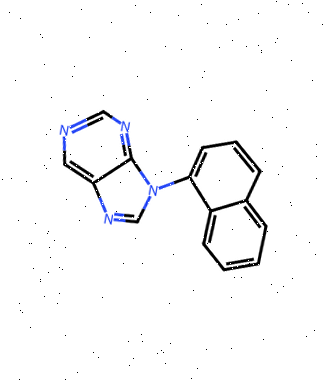 c1ccc2c(-n3cnc4cncnc43)cccc2c1